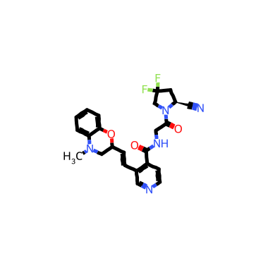 CN1CC(/C=C/c2cnccc2C(=O)NCC(=O)N2CC(F)(F)C[C@H]2C#N)Oc2ccccc21